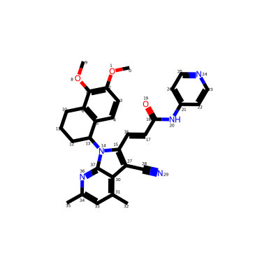 COc1ccc2c(c1OC)CCCC2n1c(/C=C/C(=O)Nc2ccncc2)c(C#N)c2c(C)cc(C)nc21